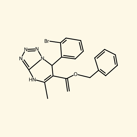 C=C(OCc1ccccc1)C1=C(C)Nc2nnnn2C1c1ccccc1Br